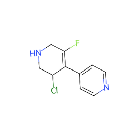 FC1=C(c2ccncc2)C(Cl)CNC1